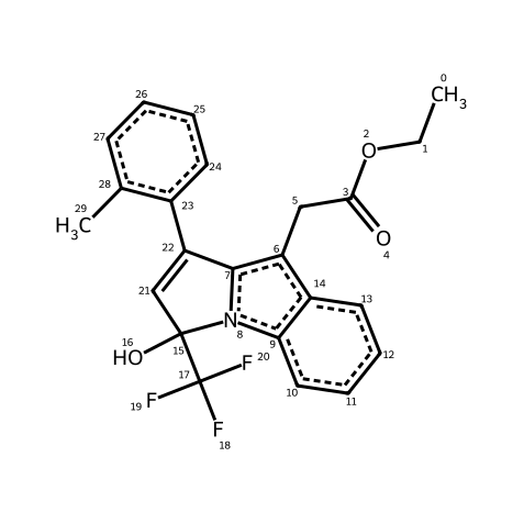 CCOC(=O)Cc1c2n(c3ccccc13)C(O)(C(F)(F)F)C=C2c1ccccc1C